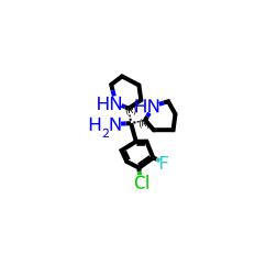 NC(c1ccc(Cl)c(F)c1)([C@H]1CCCCN1)[C@H]1CCCCN1